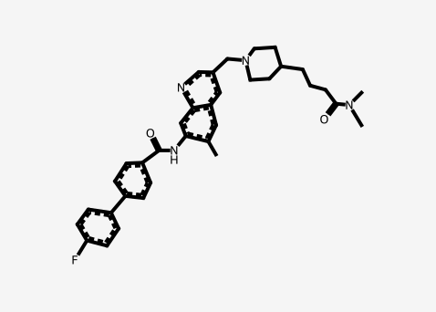 Cc1cc2cc(CN3CCC(CCCC(=O)N(C)C)CC3)cnc2cc1NC(=O)c1ccc(-c2ccc(F)cc2)cc1